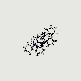 O=P(c1ccccc1)(c1ccccc1)c1ccccc1Oc1ccccc1P(=O)(c1ccccc1)C1C#CC/C=C\C=C/1